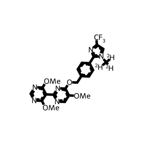 [2H]C([2H])([2H])n1cc(C(F)(F)F)nc1-c1ccc(COc2nc(-c3c(OC)ncnc3OC)ncc2OC)cc1